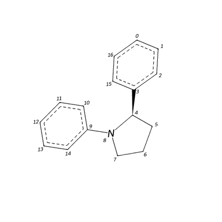 c1ccc([C@H]2CCCN2c2ccccc2)cc1